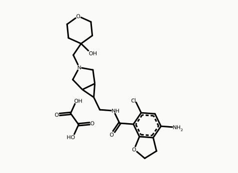 Nc1cc(Cl)c(C(=O)NCC2C3CN(CC4(O)CCOCC4)CC23)c2c1CCO2.O=C(O)C(=O)O